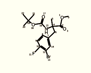 COC(=O)C(C)(Cc1ccc(F)c(Br)c1)NC(=O)OC(C)(C)C